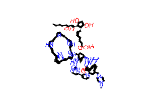 C1=Cc2cc3ccc([nH]3)c3ccc(cc4nc(cc5ccc(cc1n2)[nH]5)C=C4)[nH]3.CCCCC[C@H](O)/C=C/[C@@H]1[C@@H](C/C=C\CCCC(=O)O)[C@@H](O)C[C@H]1O.Cc1ccc(NC(=O)c2ccc(CN3CCN(C)CC3)cc2)cc1Nc1nccc(-c2cccnc2)n1